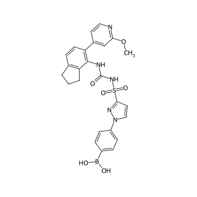 COc1cc(-c2ccc3c(c2NC(=O)NS(=O)(=O)c2ccn(-c4ccc(B(O)O)cc4)n2)CCC3)ccn1